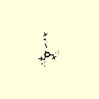 C[SiH](C)OC(c1cc(OCCNC(=O)OC(C)(C)C)cc(C(O[SiH](C)C)C(C)(C)C)c1)C(C)(C)C